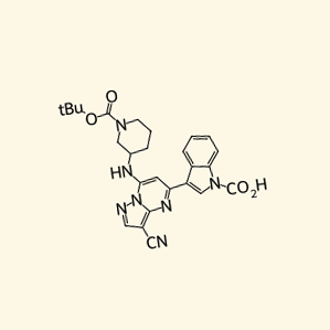 CC(C)(C)OC(=O)N1CCCC(Nc2cc(-c3cn(C(=O)O)c4ccccc34)nc3c(C#N)cnn23)C1